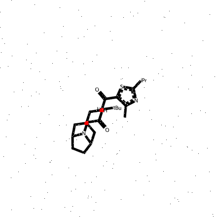 Cc1nc(C(C)C)sc1C(=O)NCC1CC2CCC(C1)N2CC(=O)NC(C)(C)C